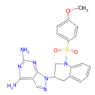 COc1ccc(S(=O)(=O)N2CC(n3ncc4c(N)nc(N)nc43)Cc3ccccc32)cc1